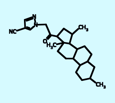 CC1CCC2C(CCC3C2CCC2(C)C(C(=O)Cn4cc(C#N)cn4)CC(C)C32)C1